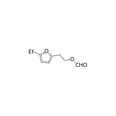 CCc1ccc(CCOC=O)o1